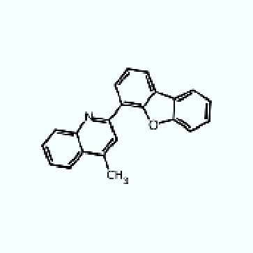 Cc1cc(-c2cccc3c2oc2ccccc23)nc2ccccc12